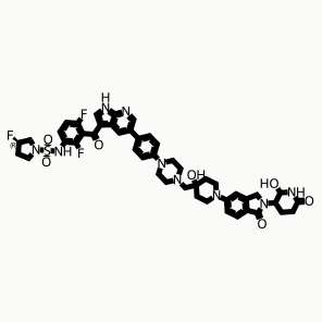 O=C1CCC(N2Cc3cc(N4CCC(O)(CN5CCN(c6ccc(-c7cnc8[nH]cc(C(=O)c9c(F)ccc(NS(=O)(=O)N%10CC[C@@H](F)C%10)c9F)c8c7)cc6)CC5)CC4)ccc3C2=O)C(O)N1